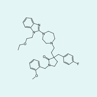 CCOCCn1c(N2CCCN(CCC3(Cc4ccc(F)cc4)CCN(Cc4ccccc4OC)C3=O)CC2)nc2ccccc21